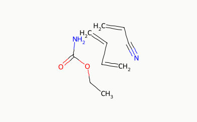 C=CC#N.C=CC=C.CCOC(N)=O